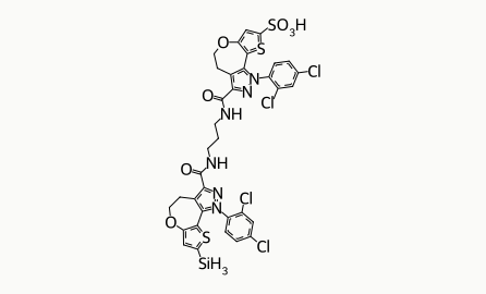 O=C(NCCCNC(=O)c1nn(-c2ccc(Cl)cc2Cl)c2c1CCOc1cc(S(=O)(=O)O)sc1-2)c1nn(-c2ccc(Cl)cc2Cl)c2c1CCOc1cc([SiH3])sc1-2